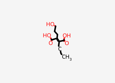 CCCCC(C(=O)O)=C(CCCO)C(=O)O